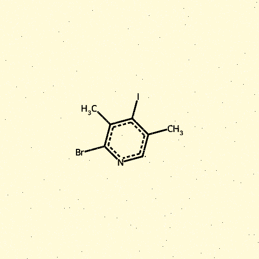 Cc1[c]nc(Br)c(C)c1I